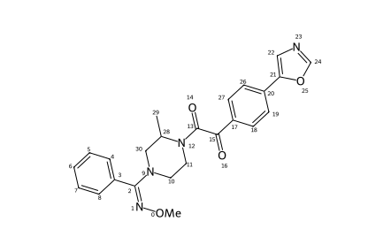 CON=C(c1ccccc1)N1CCN(C(=O)C(=O)c2ccc(-c3cnco3)cc2)C(C)C1